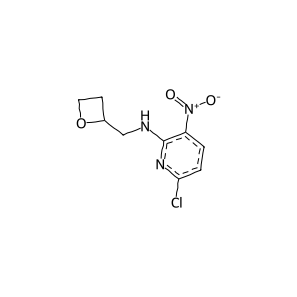 O=[N+]([O-])c1ccc(Cl)nc1NCC1CCO1